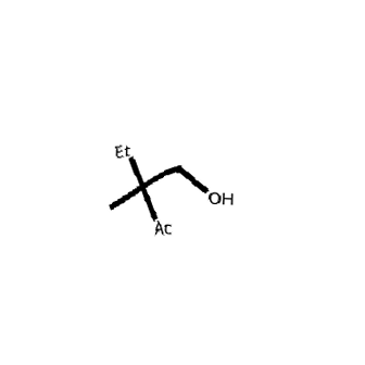 [CH2]CC(C)(CO)C(C)=O